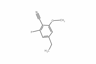 CCc1cc(F)c(C#N)c(OC)c1